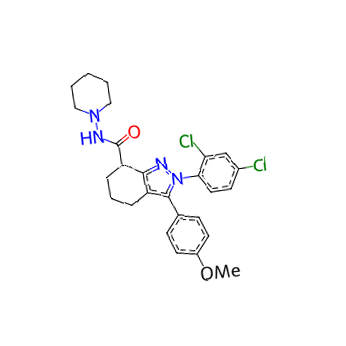 COc1ccc(-c2c3c(nn2-c2ccc(Cl)cc2Cl)C(C(=O)NN2CCCCC2)CCC3)cc1